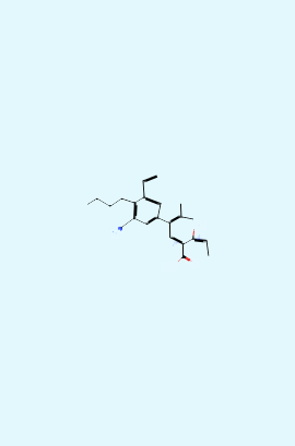 C=Cc1cc(C(/C=C(C(=O)O)\C(O)=C/C)=C(C)C)cc(C#N)c1CCCC